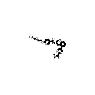 CN(C)C(=O)c1ncc(-c2cccc3c2C[C@H](NC(=O)c2ccc(OCCOCC(F)(F)F)nc2)CO3)cn1